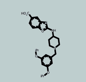 CC(C)Oc1cc(CN2CCC(Nc3nc4cc(C(=O)O)ccc4o3)CC2)cc(OC(C)C)c1